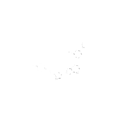 CN1CCN(CCn2cc(-c3cc4nccc(Oc5ccc([N+](=O)[O-])cc5F)c4s3)cn2)CC1